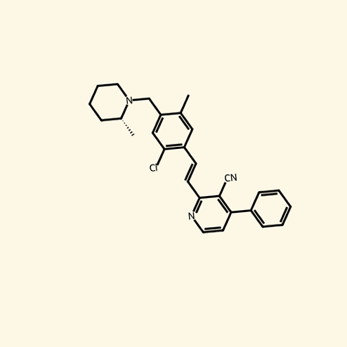 Cc1cc(/C=C/c2nccc(-c3ccccc3)c2C#N)c(Cl)cc1CN1CCCC[C@H]1C